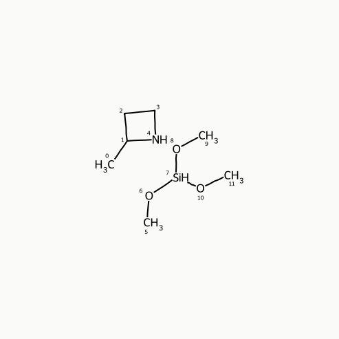 CC1CCN1.CO[SiH](OC)OC